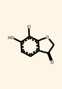 O=C1COc2c1ccc(O)c2Cl